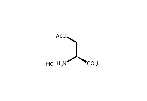 CC(=O)OC[C@H](N)C(=O)O.Cl